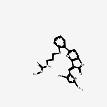 CC(=O)c1cc(C)[nH]c1/C=C1\C(=O)Nc2ccc(-c3ccccc3OCCCNC(=O)OC(C)(C)C)nc21